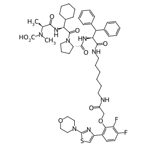 C[C@@H](C(=O)N[C@H](C(=O)N1CCC[C@H]1C(=O)N[C@H](C(=O)NCCCCCCNC(=O)COc1c(-c2csc(N3CCOCC3)n2)ccc(F)c1F)C(c1ccccc1)c1ccccc1)C1CCCCC1)N(C)C(=O)O